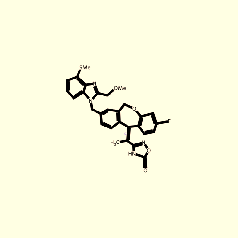 COCc1nc2c(SC)cccc2n1Cc1ccc2c(c1)COc1cc(F)ccc1/C2=C(/C)c1noc(=O)[nH]1